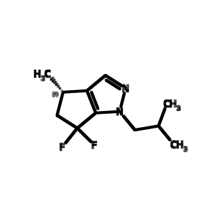 CC(C)Cn1ncc2c1C(F)(F)C[C@@H]2C